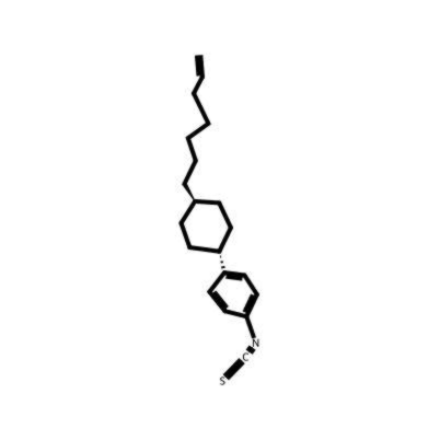 C=CCCCCC[C@H]1CC[C@H](c2ccc(N=C=S)cc2)CC1